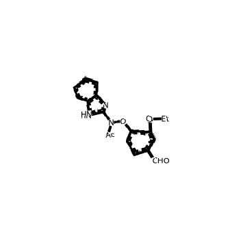 CCOc1cc(C=O)ccc1ON(C(C)=O)c1nc2ccccc2[nH]1